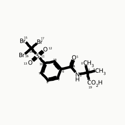 CC(C)(NC(=O)c1cccc(S(=O)(=O)C(Br)(Br)Br)c1)C(=O)O